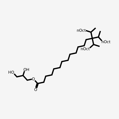 CCCCCCCCC(C)C(CCCCCCCCCCCCC(=O)OCC(O)CO)(C(C)CCCCCCCC)C(C)CCCCCCCC